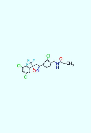 CCC(=O)NCc1ccc(C2=NOC(c3cc(Cl)cc(Cl)c3)(C(F)(F)F)C2)cc1Cl